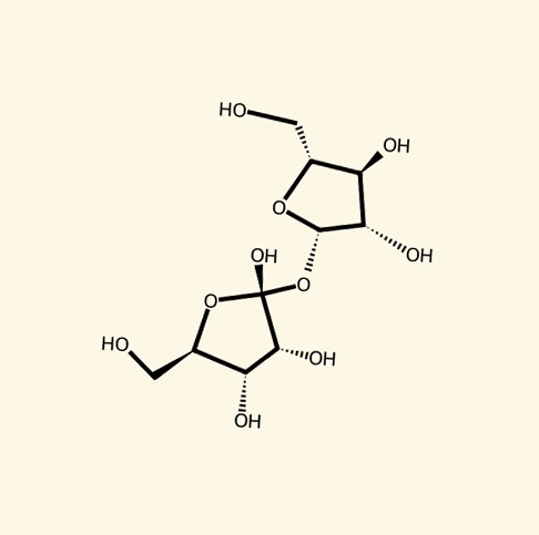 OC[C@H]1O[C@@H](O[C@@]2(O)O[C@H](CO)[C@@H](O)[C@H]2O)[C@@H](O)[C@@H]1O